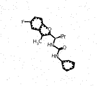 Cc1c([C@H](NC(=O)Nc2ccccc2)C(C)C)oc2ccc(F)cc12